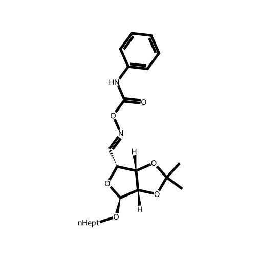 CCCCCCCO[C@H]1O[C@H](C=NOC(=O)Nc2ccccc2)[C@@H]2OC(C)(C)O[C@H]12